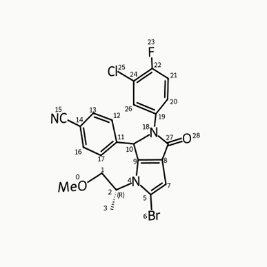 COC[C@@H](C)n1c(Br)cc2c1C(c1ccc(C#N)cc1)N(c1ccc(F)c(Cl)c1)C2=O